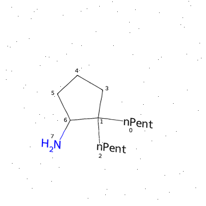 CCCCCC1(CCCCC)CCCC1N